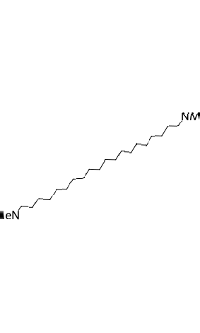 CNCCCCCCCCCCCCCCCCCCCCNC